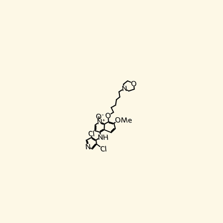 COc1ccc2c(Nc3c(Cl)cncc3Cl)cc[n+]([O-])c2c1OCCCCCCN1CCOCC1